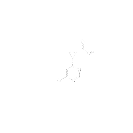 O=C(O)[C@H]1C[C@@H]1c1cc(Cl)ncn1